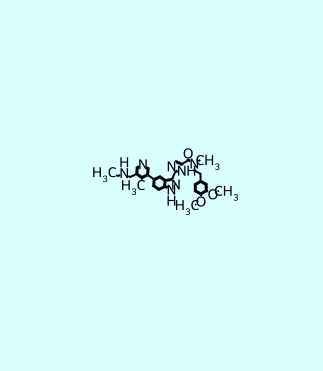 CCNCc1cncc(-c2ccc3[nH]nc(-c4ncc(C(=O)N(C)CCc5ccc(OC)c(OC)c5)[nH]4)c3c2)c1C